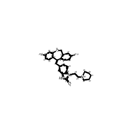 O=c1[nH]c2cc(/C=C3\c4ccc(F)cc4COc4cc(F)ccc43)ccc2n1CCN1CCCCC1